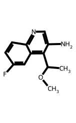 COC(C)c1c(N)cnc2ccc(F)cc12